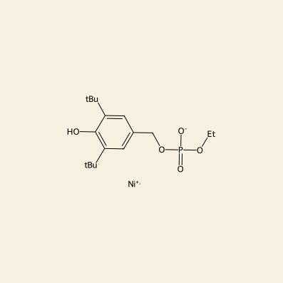 CCOP(=O)([O-])OCc1cc(C(C)(C)C)c(O)c(C(C)(C)C)c1.[Ni+]